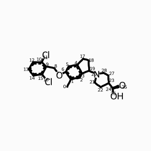 Cc1cc2c(cc1OCc1c(Cl)cccc1Cl)CCC2N1CCC(C(=O)O)CC1